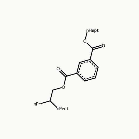 CCCCCCCOC(=O)c1cccc(C(=O)OCC(CCC)CCCCC)c1